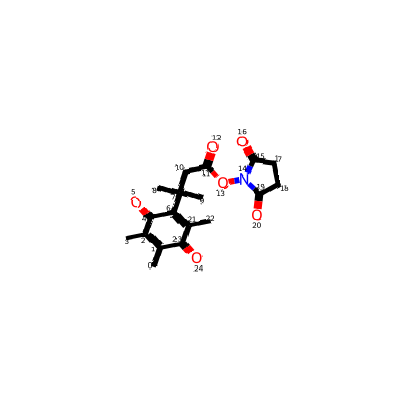 CC1=C(C)C(=O)C(C(C)(C)CC(=O)ON2C(=O)CCC2=O)=C(C)C1=O